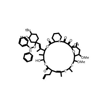 C=CCC1C=C(C)CC(C)CC(OC)C2OC(O)(C(=O)C(=O)N3CCCCC3C(=O)OC(C(C)=CC3(O[SiH](c4ccccc4)c4ccccc4)CCC(C(C)(C)C)C(OC)C3)C(C)C(O)CC1=O)C(C)CC2OC